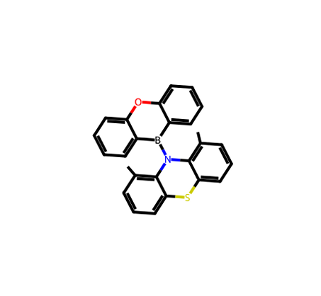 Cc1cccc2c1N(B1c3ccccc3Oc3ccccc31)c1c(C)cccc1S2